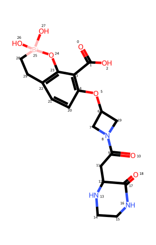 O=C(O)c1c(OC2CN(C(=O)CC3NCCNC3=O)C2)ccc2c1O[B-](O)(O)CC2